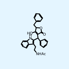 CC(=O)NCCc1c(C(C2=C(O)C(Cc3ccccc3)OC2=O)c2ccccc2)[nH]c2ccccc12